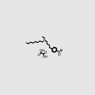 CCCCCCCCN(CC)CCCCc1ccc([N+](=O)[O-])cc1.O=C(O)C(=O)O